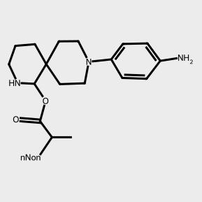 CCCCCCCCCC(C)C(=O)OC1NCCCC12CCN(c1ccc(N)cc1)CC2